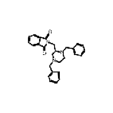 O=C1c2ccccc2C(=O)N1CC1CN(Cc2ccccc2)CCN1Cc1ccccc1